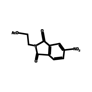 CC(=O)OCCN1C(=O)c2ccc([N+](=O)[O-])cc2C1=O